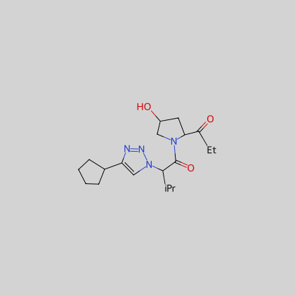 CCC(=O)C1CC(O)CN1C(=O)C(C(C)C)n1cc(C2CCCC2)nn1